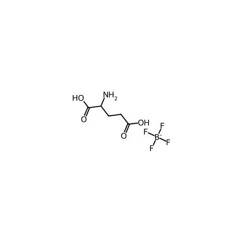 F[B-](F)(F)F.NC(CCC(=O)O)C(=O)O